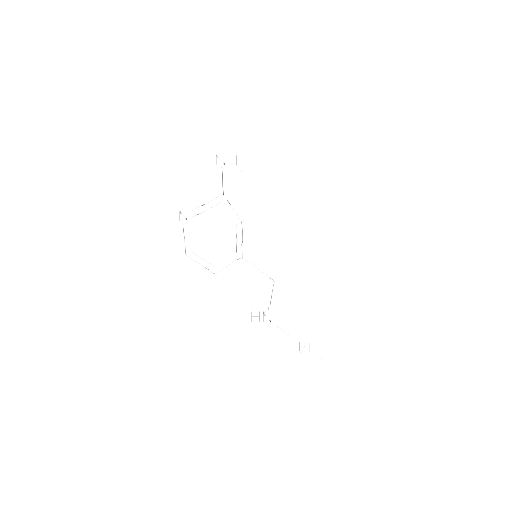 BNCc1ccnc(N)c1